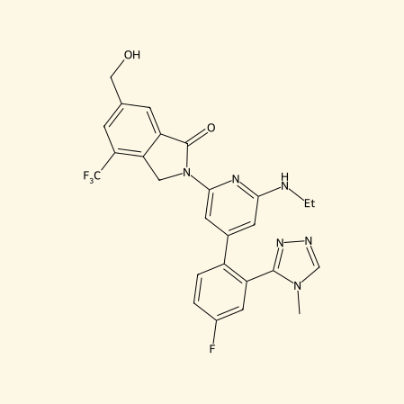 CCNc1cc(-c2ccc(F)cc2-c2nncn2C)cc(N2Cc3c(cc(CO)cc3C(F)(F)F)C2=O)n1